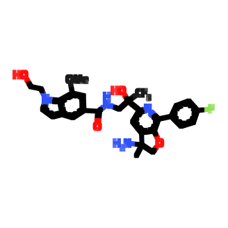 COc1cc(C(=O)NCC(O)(c2cc3c(c(-c4ccc(F)cc4)n2)OCC3(C)N)C(F)(F)F)cc2ccn(CCO)c12